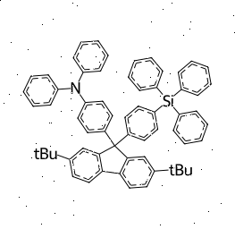 CC(C)(C)c1ccc2c(c1)C(c1ccc(N(c3ccccc3)c3ccccc3)cc1)(c1ccc([Si](c3ccccc3)(c3ccccc3)c3ccccc3)cc1)c1cc(C(C)(C)C)ccc1-2